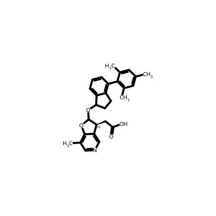 Cc1cc(C)c(-c2cccc3c2CCC3OC2Oc3c(C)cncc3[C@@H]2CC(=O)O)c(C)c1